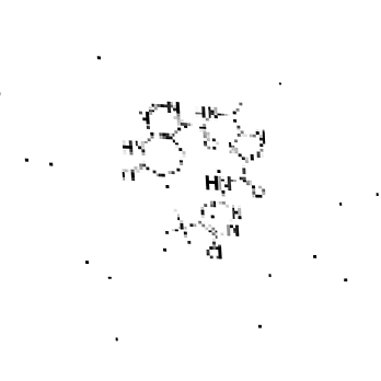 CC(NC(=O)c1ncnc2c1CCCC(=O)N2)c1ncc(C(=O)Nc2cc(C(C)(C)C)c(Cl)nn2)s1